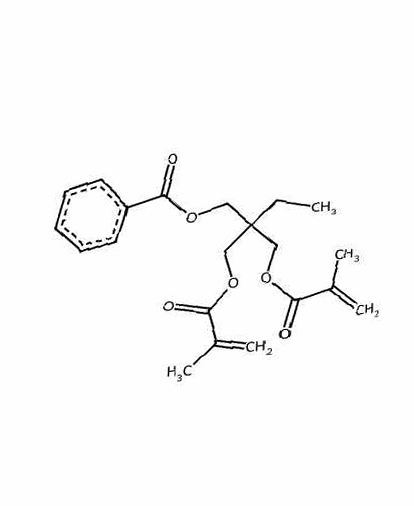 C=C(C)C(=O)OCC(CC)(COC(=O)C(=C)C)COC(=O)c1ccccc1